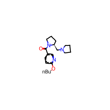 CCCCOc1ccc(C(=O)N2CCC[C@H]2CN2CCCC2)cn1